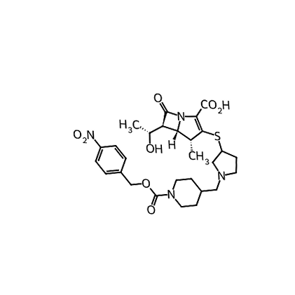 C[C@@H](O)[C@H]1C(=O)N2C(C(=O)O)=C(SC3CCN(CC4CCN(C(=O)OCc5ccc([N+](=O)[O-])cc5)CC4)C3)[C@H](C)[C@H]12